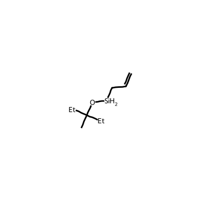 C=CC[SiH2]OC(C)(CC)CC